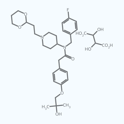 CC(C)(O)COc1ccc(CC(=O)N(Cc2ccc(F)cc2)C2CCN(CCC3OCCCO3)CC2)cc1.O=C(O)C(O)C(O)C(=O)O